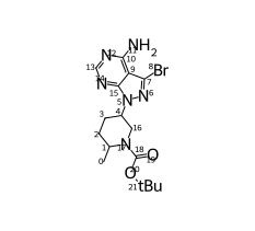 CC1CCC(n2nc(Br)c3c(N)ncnc32)CN1C(=O)OC(C)(C)C